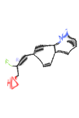 OC/C(F)=C\c1ccc2cccnc2c1